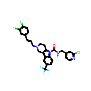 O=C(NCc1ccnc(Cl)c1)n1c2c(c3cc(C(F)(F)F)ccc31)CN(CC=Cc1ccc(Cl)c(Cl)c1)CC2